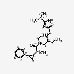 CCC(CCc1nc(N(C)C)no1)CN(CC)C(=O)N(C)C1CC1c1ccccc1